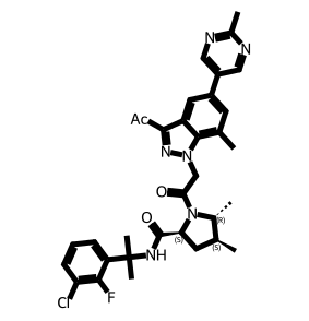 CC(=O)c1nn(CC(=O)N2[C@H](C)[C@@H](C)C[C@H]2C(=O)NC(C)(C)c2cccc(Cl)c2F)c2c(C)cc(-c3cnc(C)nc3)cc12